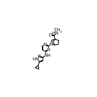 CNC(=O)C12CCC(C1)N(c1nccc(Nc3cc(C4CC4)[nH]n3)n1)C2